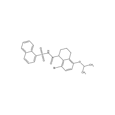 CC(C)Oc1ccc(Br)c2c1CCCC2C(=O)NS(=O)(=O)c1cccc2ccccc12